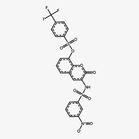 O=c1oc2c(OS(=O)(=O)c3ccc(C(F)(F)F)cc3)cccc2cc1NS(=O)(=O)c1cccc([N+](=O)[O-])c1